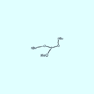 CCCCOP(OC)OCCCC